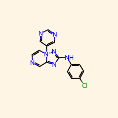 Clc1ccc(NC2=N[N+]3(c4cncnc4)C=CN=CC3=N2)cc1